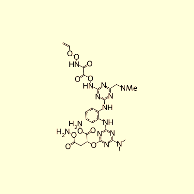 C=COONC(=O)C(=O)ONc1nc(CNC)nc(Nc2ccccc2Nc2nc(OC(CC(=O)ON)C(=O)ON)nc(N(C)C)n2)n1